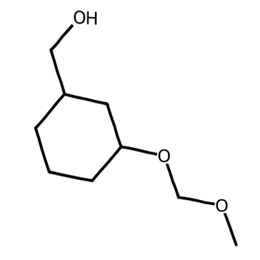 COCOC1CCCC(CO)C1